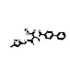 Cc1cc(CNC(=O)C(C(=O)NO)N(C)C(=O)c2ccc(-c3ccccc3)cc2)no1